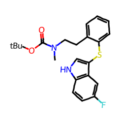 CN(CCc1ccccc1Sc1c[nH]c2ccc(F)cc12)C(=O)OC(C)(C)C